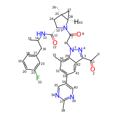 CC(=O)c1nn(CC(=O)N2[C@H](C(=O)NC(C)Cc3cccc(F)c3)C[C@@]3(C)C[C@@H]23)c2c(C)cc(-c3cnc(C)nc3)cc12